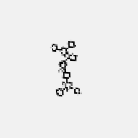 c1ccc(C2=NC(c3ccc4c(c3)oc3ccc(-n5c6ccccc6c6c(-c7ccccc7)cc(-c7ccccc7)cc65)cc34)NC(c3ccccc3)=N2)cc1